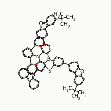 CC(C)(C)c1ccc2oc3ccc(-c4ccc5c(c4)Sc4cc(-n6c7ccccc7c7ccccc76)cc6c4B5c4ccc(-c5ccc7oc8ccc(C(C)(C)C)cc8c7c5)cc4N6c4c(-c5ccccc5)cccc4-c4ccccc4)cc3c2c1